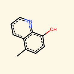 [CH2]c1ccc(O)c2ncccc12